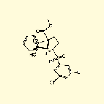 COC(=O)C1(c2ccccc2)CCN(S(=O)(=O)c2cc(Cl)cc(Cl)c2)[C@]1(C)C(=O)O